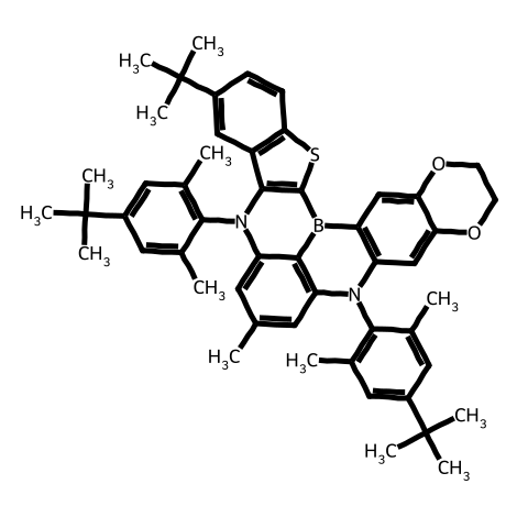 Cc1cc2c3c(c1)N(c1c(C)cc(C(C)(C)C)cc1C)c1c(sc4ccc(C(C)(C)C)cc14)B3c1cc3c(cc1N2c1c(C)cc(C(C)(C)C)cc1C)OCCO3